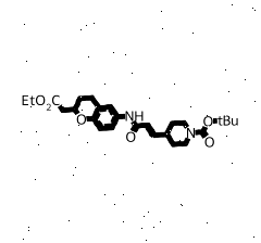 CCOC(=O)CC1CCc2cc(NC(=O)C=CC3CCN(C(=O)OC(C)(C)C)CC3)ccc2O1